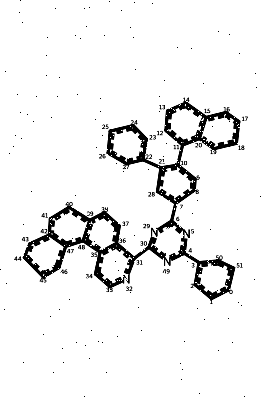 c1ccc(-c2nc(-c3ccc(-c4cccc5ccccc45)c(-c4ccccc4)c3)nc(-c3nccc4c3ccc3ccc5ccccc5c34)n2)cc1